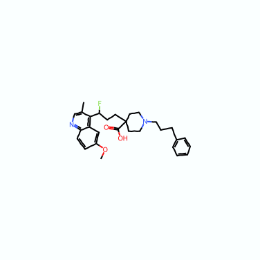 COc1ccc2ncc(C)c(C(F)CCC3(C(=O)O)CCN(CCCc4ccccc4)CC3)c2c1